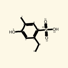 CCc1cc(O)c(C)cc1S(=O)(=O)O